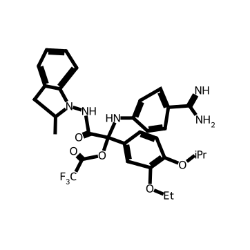 CCOc1cc(C(Nc2ccc(C(=N)N)cc2)(OC(=O)C(F)(F)F)C(=O)NN2c3ccccc3CC2C)ccc1OC(C)C